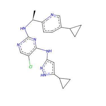 C[C@H](Nc1ncc(Cl)c(Nc2cc(C3CC3)[nH]n2)n1)c1ccc(C2CC2)cn1